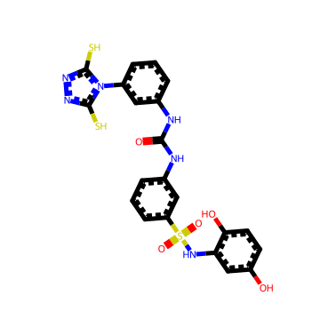 O=C(Nc1cccc(-n2c(S)nnc2S)c1)Nc1cccc(S(=O)(=O)Nc2cc(O)ccc2O)c1